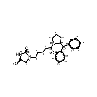 O=C1CN(CCCCC(O)N2CCCC2C(c2ccccc2)c2ccccc2)C(=O)N1